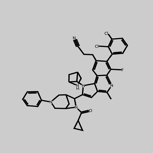 Cc1nc2c(F)c(-c3cccc(Cl)c3Cl)c(CCC#N)cc2c2c1cc(C1C3CC(CN(c4ccccc4)C3)N1C(=O)C1CC1)n2C1C2CNC1C2